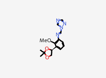 COc1c(N=Cn2cncn2)cccc1[C@H]1COC(C)(C)O1